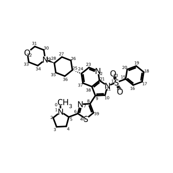 CN1CCCC1c1nc(-c2cn(S(=O)(=O)c3ccccc3)c3ncc([C@H]4CC[C@H](N5CCOCC5)CC4)cc23)cs1